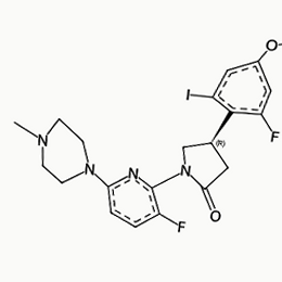 COc1cc(F)c([C@H]2CC(=O)N(c3nc(N4CCN(C)CC4)ccc3F)C2)c(I)c1